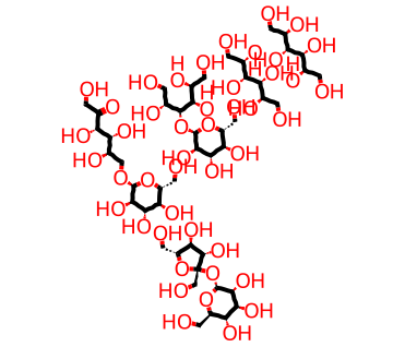 O=C(CO)[C@@H](O)[C@H](O)[C@H](O)CO[C@H]1O[C@H](CO)[C@@H](O)[C@H](O)[C@H]1O.OC[C@@H](O)[C@@H](O)[C@H](O)[C@@H](O)CO.OC[C@@H](O)[C@@H](O)[C@H](O)[C@H](O)CO.OC[C@@H](O)[C@@H](O[C@H]1O[C@H](CO)[C@@H](O)[C@H](O)[C@H]1O)[C@H](O)[C@@H](O)CO.OC[C@H]1O[C@@](CO)(O[C@H]2O[C@H](CO)[C@@H](O)[C@H](O)[C@H]2O)[C@@H](O)[C@@H]1O